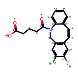 O=C(O)CCCC(=O)N1Cc2cc(Br)c(Cl)cc2/C=C\c2ccccc21